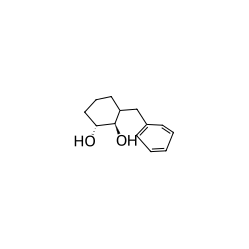 O[C@@H]1CCCC(Cc2ccccc2)[C@H]1O